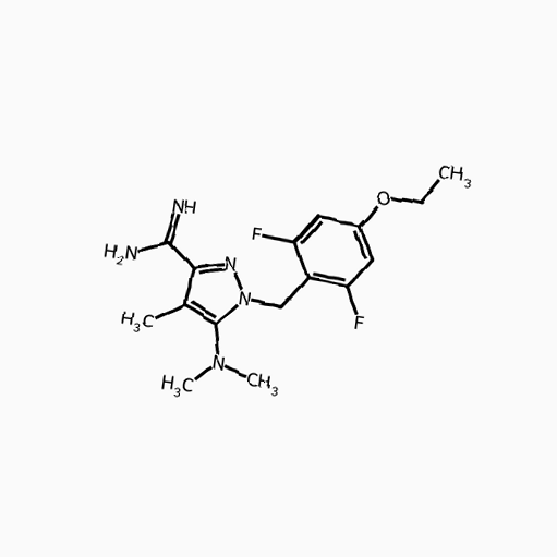 CCOc1cc(F)c(Cn2nc(C(=N)N)c(C)c2N(C)C)c(F)c1